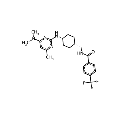 Cc1cc(N(C)C)nc(N[C@H]2CC[C@@H](CNC(=O)c3ccc(C(F)(F)F)cc3)CC2)n1